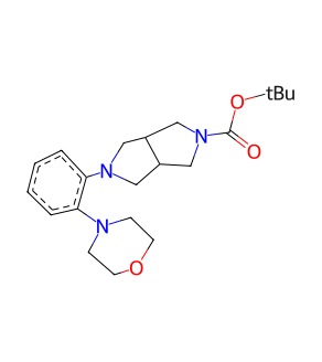 CC(C)(C)OC(=O)N1CC2CN(c3ccccc3N3CCOCC3)CC2C1